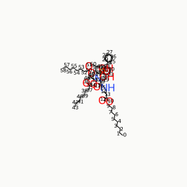 CCCCCCCCCCOC(=O)CCNC(=O)C(Cc1ccc(-c2ccccc2)cc1)N(C(OC(=O)CCCCCCC)C(C)C)C(C(OC(=O)CCCCCCC)C(C)C)P(=O)(O)O